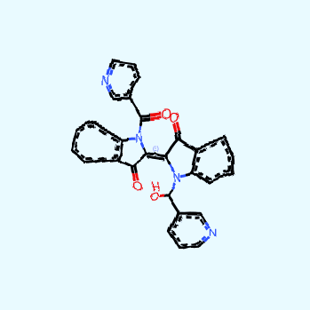 O=C1/C(=C2/C(=O)c3ccccc3N2C(O)c2cccnc2)N(C(=O)c2cccnc2)c2ccccc21